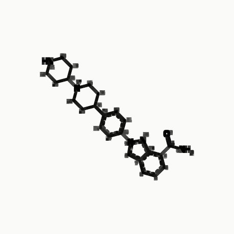 NC(=O)c1cccc2cn(-c3ccc(C4CCN(C5CCNCC5)CC4)cc3)nc12